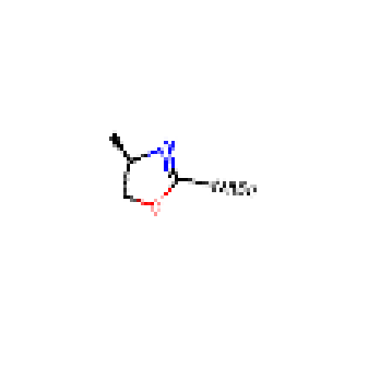 CNC1=N[C@H](C)CO1